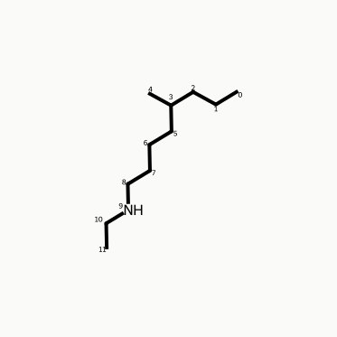 CCCC(C)CCCCNCC